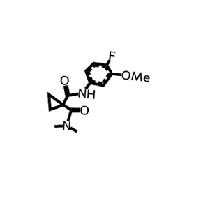 COc1cc(NC(=O)C2(C(=O)N(C)C)CC2)ccc1F